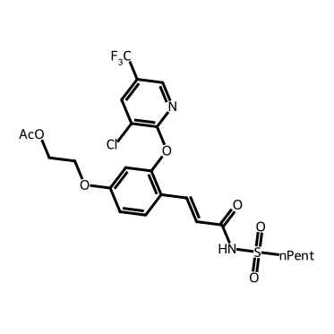 CCCCCS(=O)(=O)NC(=O)/C=C/c1ccc(OCCOC(C)=O)cc1Oc1ncc(C(F)(F)F)cc1Cl